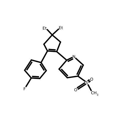 CCC1(CC)CC(c2ccc(F)cc2)=C(c2ccc(S(C)(=O)=O)cn2)C1